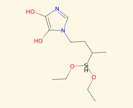 CCO[SiH](OCC)C(C)CCn1cnc(O)c1O